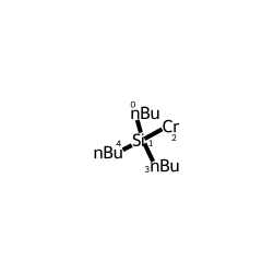 CCCC[Si]([Cr])(CCCC)CCCC